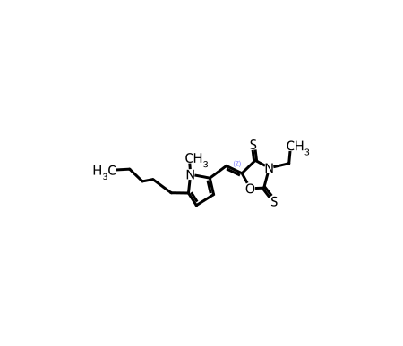 CCCCCc1ccc(/C=C2\OC(=S)N(CC)C2=S)n1C